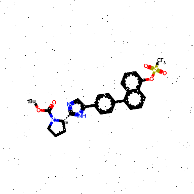 CC(C)(C)OC(=O)N1CCC[C@H]1c1ncc(-c2ccc(-c3cccc4c(OS(=O)(=O)C(F)(F)F)cccc34)cc2)[nH]1